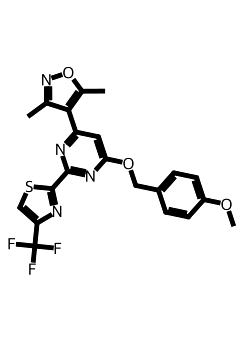 COc1ccc(COc2cc(-c3c(C)noc3C)nc(-c3nc(C(F)(F)F)cs3)n2)cc1